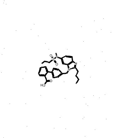 CCCCc1nc2ccc(N(C)S(=O)(=O)CCC)cc2n1Cc1ccc(-c2ccccc2C(=O)O)cc1